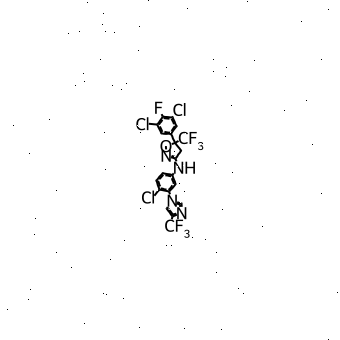 Fc1c(Cl)cc(C2(C(F)(F)F)CC(Nc3ccc(Cl)c(-n4cnc(C(F)(F)F)c4)c3)=NO2)cc1Cl